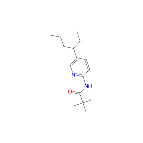 C[CH]C(CCC)c1ccc(NC(=O)C(C)(C)C)nc1